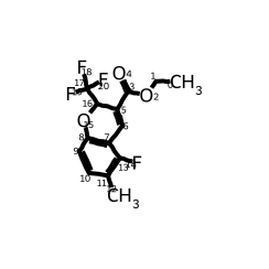 CCOC(=O)C1=Cc2c(ccc(C)c2F)OC1C(F)(F)F